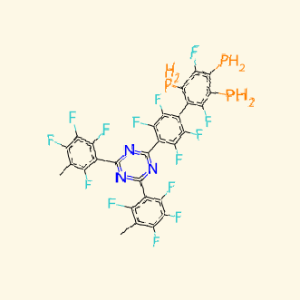 Cc1c(F)c(F)c(F)c(-c2nc(-c3c(F)c(C)c(F)c(F)c3F)nc(-c3c(F)c(F)c(-c4c(F)c(P)c(P)c(F)c4P)c(F)c3F)n2)c1F